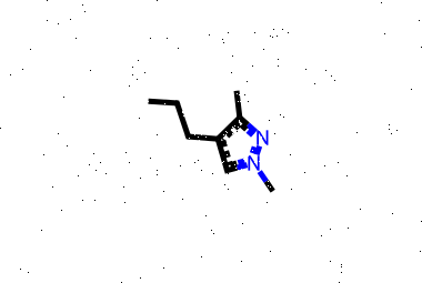 CCCc1cn(C)nc1C